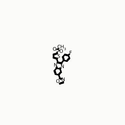 CS(=O)(=O)c1ccc(-c2nc3ccc(-c4ncco4)cc3nc2-c2ccc(F)cc2)s1